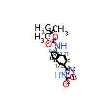 CC(C)(C)OC(=O)N[C@H]1CCc2cc(-c3noc(=O)[nH]3)ccc21